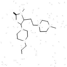 CN1CCN(CCC2C(N3CCN(CCC(=O)O)CC3)OC(=O)N2C)CC1